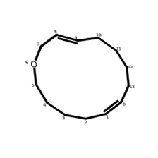 C1=C\CCCCOC/C=C/CCCC/1